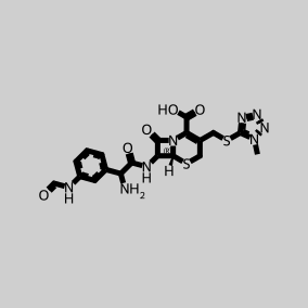 Cn1nnnc1SCC1=C(C(=O)O)N2C(=O)C(NC(=O)C(N)c3cccc(NC=O)c3)[C@H]2SC1